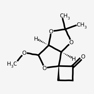 COC1O[C@]2(CCC2=O)[C@@H]2OC(C)(C)O[C@H]12